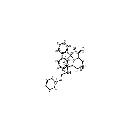 O=C(NCCN1CC=CCC1)C1CNCC2C(=O)OC(c3ccccc3)(c3ccccc3)N12